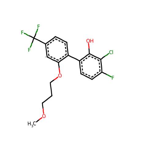 COCCCOc1[c]c(C(F)(F)F)ccc1-c1ccc(F)c(Cl)c1O